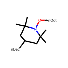 CCCCCCCCCCC1CC(C)(C)N(OCCCCCCCC)C(C)(C)C1